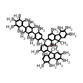 Bc1cc2c(c(B)c1B)-c1c(B)cc(N(c3cc(B)c(-c4c(B)c(B)c(-c5c(B)c(B)c(B)c(B)c5B)c(B)c4B)c(B)c3B)c3cc(B)c(B)c(C4(C)c5ccc(B)c(B)c5-c5c4cc(B)c(B)c5B)c3B)c(B)c1C2(C)C